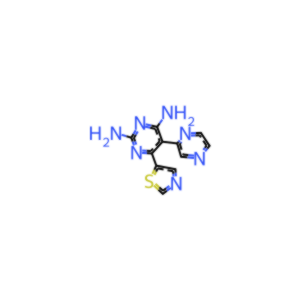 Nc1nc(N)c(-c2cnccn2)c(-c2cncs2)n1